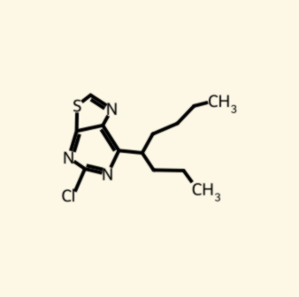 CCCCC(CCC)c1nc(Cl)nc2scnc12